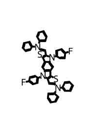 Fc1ccc(-n2c3cc4c5sc(N(c6ccccc6)c6ccccc6)cc5n(-c5ccc(F)cc5)c4cc3c3sc(N(c4ccccc4)c4ccccc4)cc32)cc1